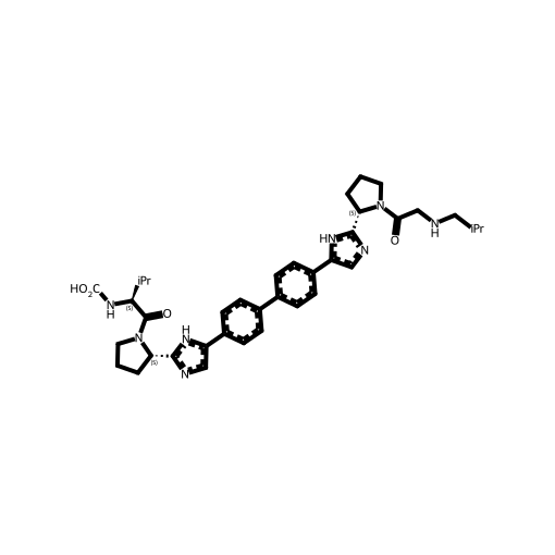 CC(C)CNCC(=O)N1CCC[C@H]1c1ncc(-c2ccc(-c3ccc(-c4cnc([C@@H]5CCCN5C(=O)[C@@H](NC(=O)O)C(C)C)[nH]4)cc3)cc2)[nH]1